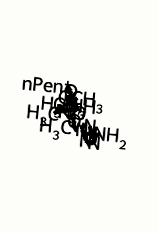 CCCCCOC(=O)C(C)(C)N[P@](=O)(CO[C@H](C)Cn1cnc2c(N)ncnc21)ON=C(C)C